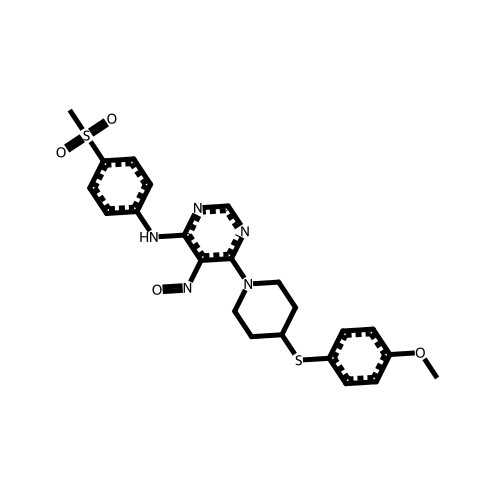 COc1ccc(SC2CCN(c3ncnc(Nc4ccc(S(C)(=O)=O)cc4)c3N=O)CC2)cc1